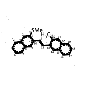 CSc1cc2ccccc2cc1/C=C/c1cc2ccccc2cc1C